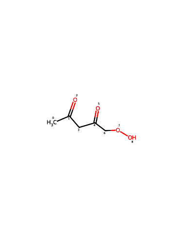 CC(=O)CC(=O)COO